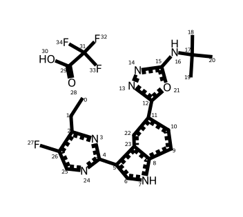 CCc1nc(-c2c[nH]c3ccc(-c4nnc(NC(C)(C)C)o4)cc23)ncc1F.O=C(O)C(F)(F)F